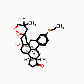 CCSc1ccc2c(c1)C[C@]13CCC4(CC(C)(C)COO4)C[C@]1(O)CC[C@@H]1[C@@H]3[C@@H]2C[C@]2(C)C(=O)CC[C@@H]12